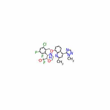 Cc1cc(-c2ncnn2C)c2cccc(OCc3c(Cl)cc(F)cc3[C@H]3NCCOC3C([O])(F)F)c2n1